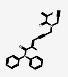 C#CCN(CC#C/C=C(\F)C(=O)N(c1ccccc1)c1ccccc1)C(=O)C(=C)F